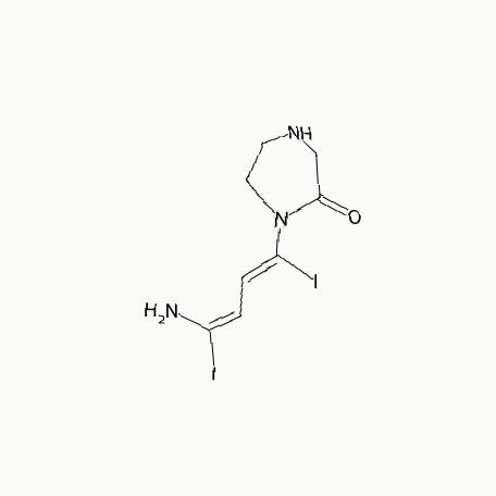 N/C(I)=C\C=C(/I)N1CCNCC1=O